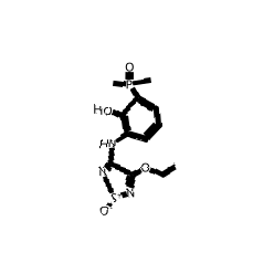 CCOc1n[s+]([O-])nc1Nc1cccc(P(C)(C)=O)c1O